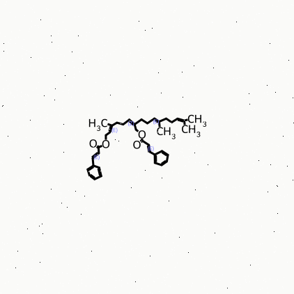 CC(C)=CCC/C(C)=C/CC/C(=C/CC/C(C)=C/COC(=O)/C=C/c1ccccc1)COC(=O)/C=C/c1ccccc1